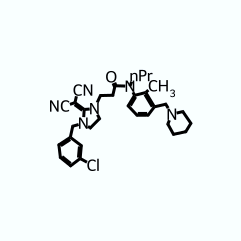 CCCN(C(=O)CCN1CCN(Cc2cccc(Cl)c2)C1=C(C#N)C#N)c1cccc(CN2CCCCC2)c1C